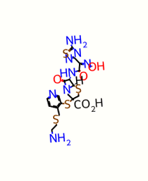 NCCSCc1ccncc1SC1(C(=O)O)CS[C@@H]2[C@H](NC(=O)/C(=N\O)c3nsc(N)n3)C(=O)N2C1